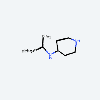 CCCCCCCC(CCCCCC)NC1CCNCC1